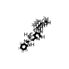 [2H]c1nc(C[S+]([O-])c2nc3ccccc3[nH]2)c(C)c(OC([2H])([2H])C([2H])([2H])C([2H])([2H])OC([2H])([2H])[2H])c1[2H]